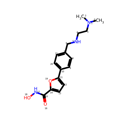 CN(C)CCNCc1ccc(-c2ccc(C(=O)NO)o2)cc1